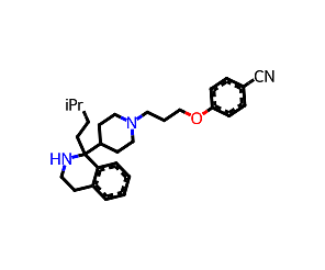 CC(C)CCC1(C2CCN(CCCOc3ccc(C#N)cc3)CC2)NCCc2ccccc21